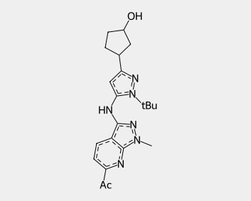 CC(=O)c1ccc2c(Nc3cc(C4CCC(O)C4)nn3C(C)(C)C)nn(C)c2n1